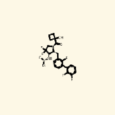 CC[S+]([O-])N[C@@H]1[C@H](Cc2cccc(-c3cccc(F)c3F)c2F)N(C(=O)C2(O)CCC2)CC1(F)F